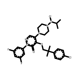 CC(C)[S+]([O-])N1CCN(c2cnn(-c3cc(F)cc(F)c3)c(=O)c2OCC(C)(C)c2ccc(Cl)cc2)CC1